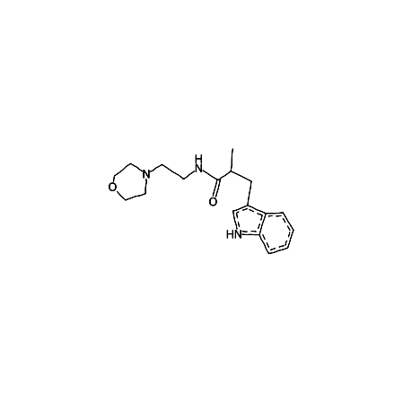 CC(Cc1c[nH]c2ccccc12)C(=O)NCCN1CCOCC1